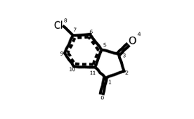 C=C1CC(=O)c2cc(Cl)ccc21